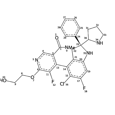 CNC(=O)c1cnc(OCCO)c(F)c1-c1c(Cl)c(F)cc2c1C[C@](c1ccccc1)(C1CCCN1)N2